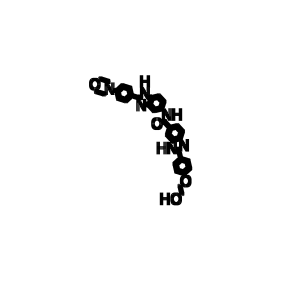 O=C(Nc1ccc2[nH]c(-c3ccc(N4CCOCC4)cc3)nc2c1)c1ccc2nc(-c3ccc(OCCO)cc3)[nH]c2c1